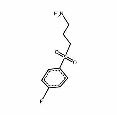 NCCCS(=O)(=O)c1ccc(F)cc1